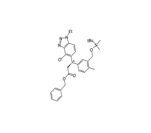 CCn1nnc2c(Cl)c([C@H](CC(=O)OCc3ccccc3)c3ccc(C)c(CO[Si](C)(C)C(C)(C)C)c3)ccc21